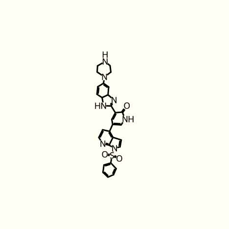 O=c1[nH]cc(-c2ccnc3c2ccn3S(=O)(=O)c2ccccc2)cc1C1=NC2C=C(N3CCNCC3)C=CC2N1